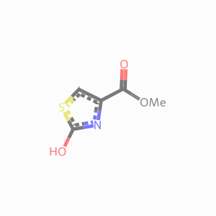 COC(=O)c1[c]sc(O)n1